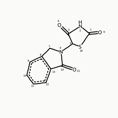 O=C1NC(=O)C(N2Cc3ccccc3C2=O)S1